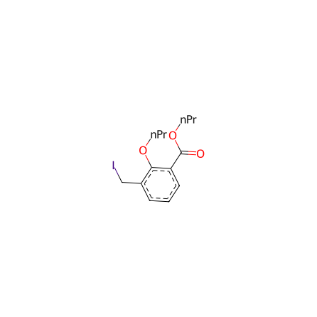 CCCOC(=O)c1cccc(CI)c1OCCC